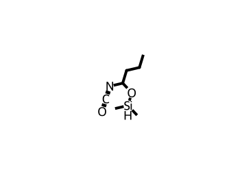 CCCC(N=C=O)O[SiH](C)C